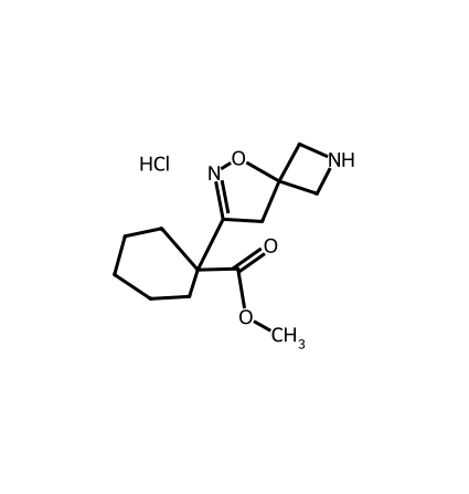 COC(=O)C1(C2=NOC3(CNC3)C2)CCCCC1.Cl